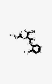 C[C@@H](O)[C@H](NC(=O)OC(C)(C)C)C(=O)Nc1ccccc1N